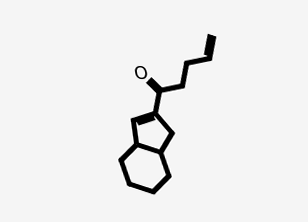 C=CCCC(=O)C1=CC2CCCCC2C1